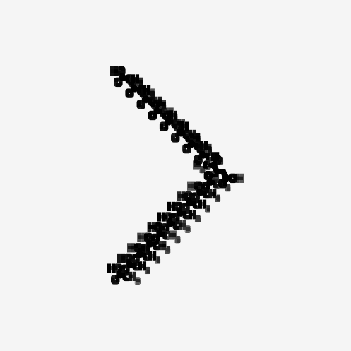 CC(=O)CCC(=O)O.CC(=O)O.CC(=O)O.CC(=O)O.CC(=O)O.CC(=O)O.CC(=O)O.CC(=O)O.CC(=O)O.CC(=O)O.CC(=O)O.CC(=O)O.CC(=O)O.CC(=O)O.CC(=O)O.CC(=O)O.CC(=O)O.CC(=O)O.CC(=O)O